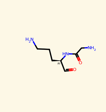 NCCC[C@H](C=O)NC(=O)CN